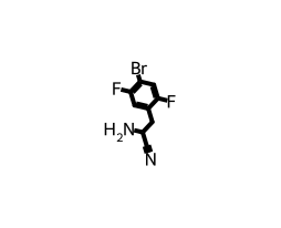 N#CC(N)Cc1cc(F)c(Br)cc1F